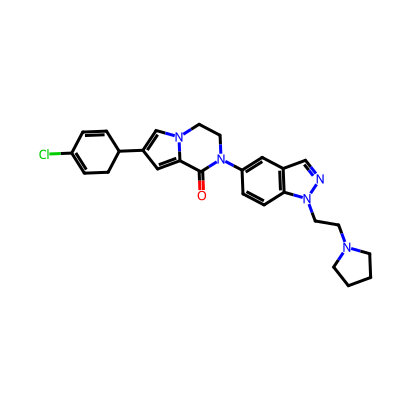 O=C1c2cc(C3C=CC(Cl)=CC3)cn2CCN1c1ccc2c(cnn2CCN2CCCC2)c1